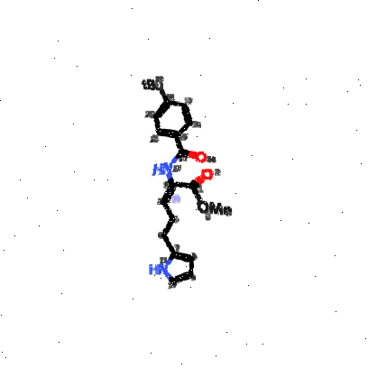 COC(=O)/C(=C\CCc1ccc[nH]1)NC(=O)c1ccc(C(C)(C)C)cc1